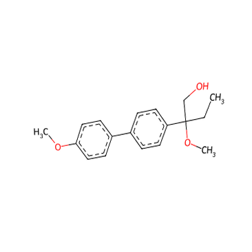 CCC(CO)(OC)c1ccc(-c2ccc(OC)cc2)cc1